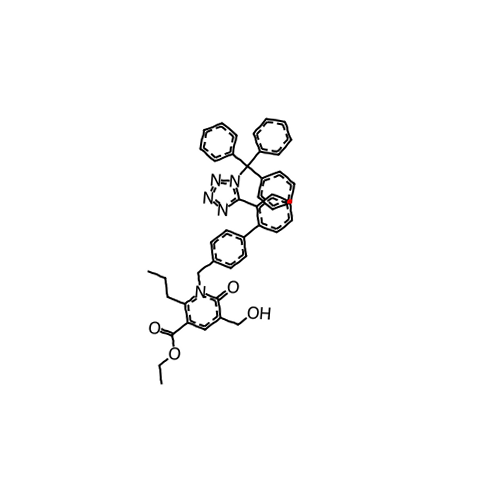 CCCc1c(C(=O)OCC)cc(CO)c(=O)n1Cc1ccc(-c2ccccc2-c2nnnn2C(c2ccccc2)(c2ccccc2)c2ccccc2)cc1